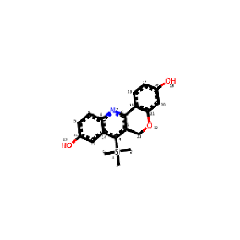 C[Si](C)(C)c1c2c(nc3ccc(O)cc13)-c1ccc(O)cc1OC2